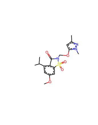 COc1cc(C(C)C)c2c(c1)S(=O)(=O)N(COc1cc(C)nn1C)C2=O